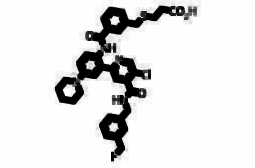 O=C(O)CCSCc1cccc(C(=O)Nc2ccc(N3CCCCC3)cc2-c2cc(C(=O)NCc3cccc(CF)c3)c(Cl)cn2)c1